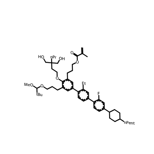 C=C(C)C(=O)OCCCc1cc(-c2ccc(-c3ccc(C4CCC(CCCCC)CC4)cc3F)cc2CC)cc(CCCOC(OC)C(C)(C)C)c1OCCC(CO)(CO)CCC